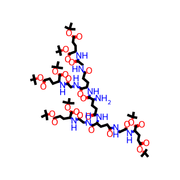 CC(C)(C)OC(=O)CCC(NC(=O)CNC(=O)CCC(NC(=O)CCC(N)C(=O)NC(CCC(=O)NCC(=O)NC(CCC(=O)OC(C)(C)C)C(=O)OC(C)(C)C)C(=O)NCC(=O)NC(CCC(=O)OC(C)(C)C)C(=O)OC(C)(C)C)C(=O)NCC(=O)NC(CCC(=O)OC(C)(C)C)C(=O)OC(C)(C)C)C(=O)OC(C)(C)C